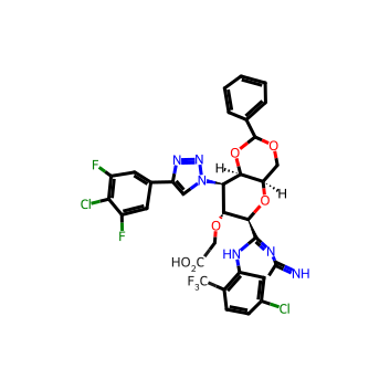 CC(=N)/N=C(\Nc1cc(Cl)ccc1C(F)(F)F)[C@@H]1O[C@@H]2COC(c3ccccc3)O[C@@H]2[C@H](n2cc(-c3cc(F)c(Cl)c(F)c3)nn2)[C@H]1OCC(=O)O